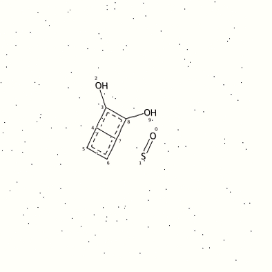 O=S.Oc1c2ccc-2c1O